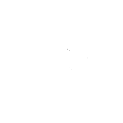 Brc1nc(-c2ccccc2)c2ccc3ccccc3c2n1